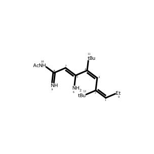 CC\C=C(/C=C(\C(N)=C\C(=N)NC(C)=O)C(C)(C)C)C(C)(C)C